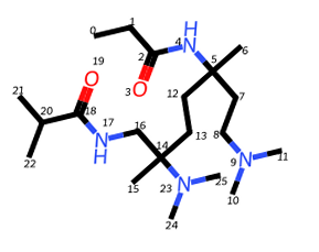 CCC(=O)NC(C)(CCN(C)C)CCC(C)(CNC(=O)C(C)C)N(C)C